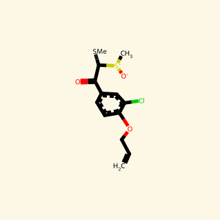 C=CCOc1ccc(C(=O)C(SC)[S+](C)[O-])cc1Cl